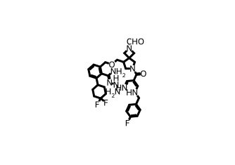 N=C/C(=C\NCc1ccc(F)cc1)C(=O)N1CC(COCc2cccc(C3CCC(F)(F)CC3)c2/C(N)=N/NN)C2(CN(C=O)C2)C1